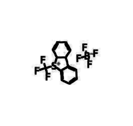 FC(F)(F)[S+]1c2ccccc2C2C=CC=CC21.F[B-](F)(F)F